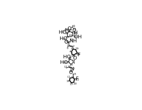 CC(=Cc1ccc(O[C@@H]2C[C@H](C(C)=NOCc3ccccc3F)[C@@H](O)[C@@H]2O)c(F)c1)C(=O)N[C@@H]1[C@H](O)[C@@H](O)[C@H]2OCO[C@H]2[C@@H]1O